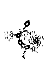 C[C@@H]1[C@@H](NC(=O)[C@@H]2[C@H]([C@H](C)O)[C@H](CN=[N+]=[N-])ON2Cc2cc(-c3cc(C(=O)N[C@@H](Cc4ccccc4)CN(C)C)cc(N(C)C)c3)ccc2F)C[C@H]2C[C@@H]1C2(C)C